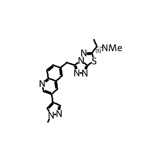 CN[C@@H](C)c1nn2c(Cc3ccc4ncc(-c5cnn(C)c5)cc4c3)nnc2s1